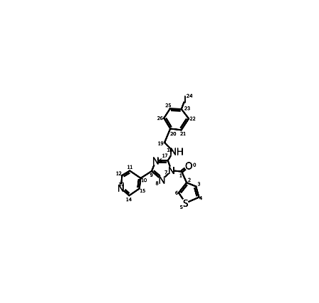 O=C(c1ccsc1)n1nc(-c2ccncc2)nc1NCc1ccc(I)cc1